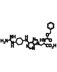 N=C(N)NC1CCC(Nc2ncnc3c2ncn3C[C@@H](NC(=O)OCc2ccccc2)C(=O)O)CC1